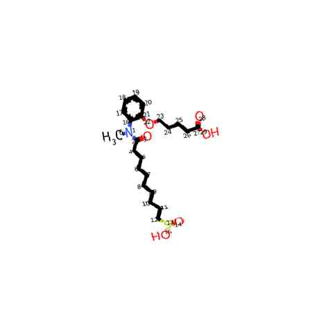 CN(C(=O)CCCCCCCCCS(=O)O)c1ccccc1OCCCCC(=O)O